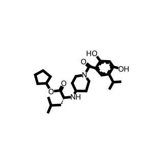 CC(C)C[C@@H](NC1CCN(C(=O)c2cc(C(C)C)c(O)cc2O)CC1)C(=O)OC1CCCC1